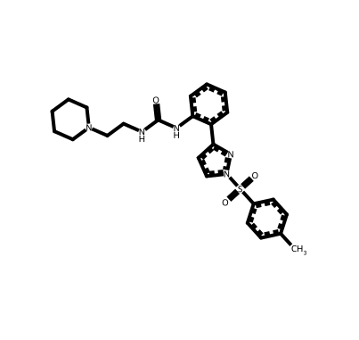 Cc1ccc(S(=O)(=O)n2ccc(-c3ccccc3NC(=O)NCCN3CCCCC3)n2)cc1